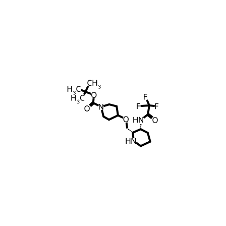 CC(C)(C)OC(=O)N1CCC(OC[C@H]2NCCC[C@H]2NC(=O)C(F)(F)F)CC1